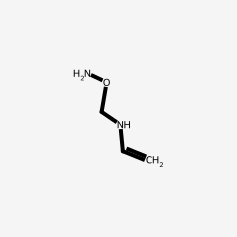 C=CNCON